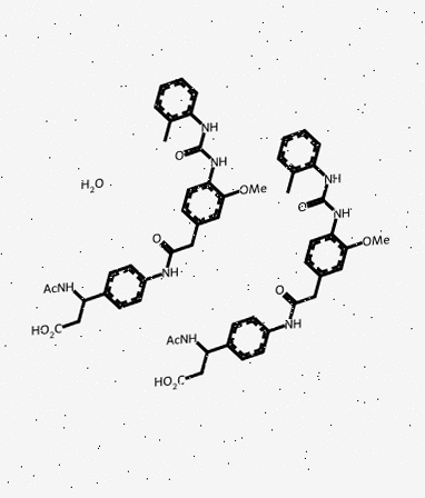 COc1cc(CC(=O)Nc2ccc(C(CC(=O)O)NC(C)=O)cc2)ccc1NC(=O)Nc1ccccc1C.COc1cc(CC(=O)Nc2ccc(C(CC(=O)O)NC(C)=O)cc2)ccc1NC(=O)Nc1ccccc1C.O